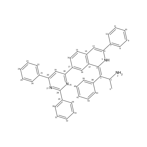 CC(N)/C(=C1\NC(c2ccccc2)=Cc2ccc(-c3cc(-c4ccccc4)nc(-c4ccccc4)n3)cc21)c1ccccc1